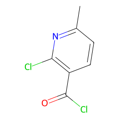 Cc1ccc(C(=O)Cl)c(Cl)n1